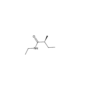 CCNC(=O)[C@@H](C)CC